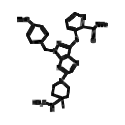 CNC(=O)c1ncccc1Sc1nn(Cc2ccc(OC)cc2)c2nc(N3CCC(C)(NC(=O)O)CC3)cnc12